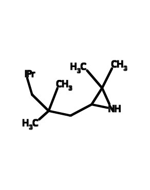 CC(C)CC(C)(C)CC1NC1(C)C